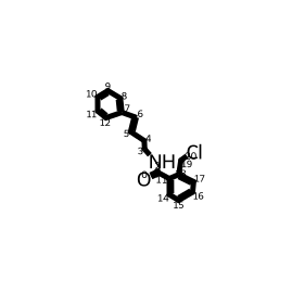 O=C(NCC/C=C/c1ccccc1)c1ccccc1CCl